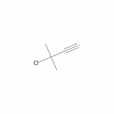 [C]#CC(C)(C)Cl